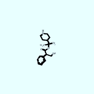 CC(C)(OC(=O)C(CO)c1ccccc1)C1CCNCC1